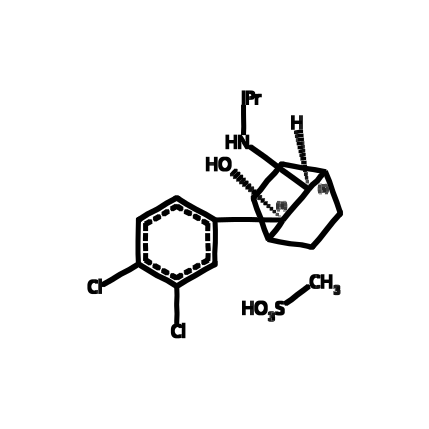 CC(C)N[C@H]1C2CCC(CC2)[C@@]1(O)c1ccc(Cl)c(Cl)c1.CS(=O)(=O)O